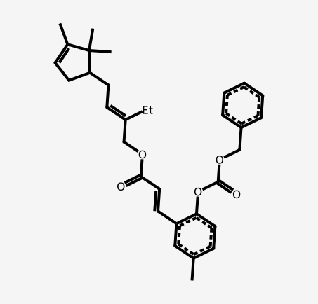 CC/C(=C\CC1CC=C(C)C1(C)C)COC(=O)/C=C/c1cc(C)ccc1OC(=O)OCc1ccccc1